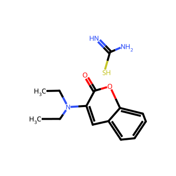 CCN(CC)c1cc2ccccc2oc1=O.N=C(N)S